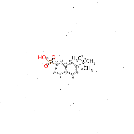 CC(C)(C)c1ccc2ccc(S(=O)(=O)O)cc2c1